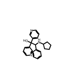 OC(c1cccnc1)(c1cccnc1)C(NC1CCCC1)c1ccccc1